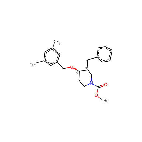 CC(C)(C)OC(=O)N1CC[C@@H](OCc2cc(C(F)(F)F)cc(C(F)(F)F)c2)[C@@H](Cc2ccccc2)C1